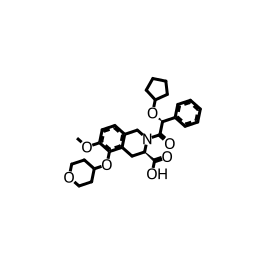 COc1ccc2c(c1OC1CCOCC1)C[C@H](C(=O)O)N(C(=O)[C@H](OC1CCCC1)c1ccccc1)C2